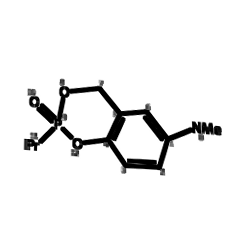 CNc1ccc2c(c1)COP(=O)(C(C)C)O2